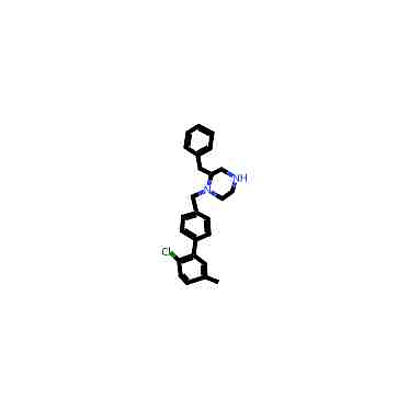 Cc1ccc(Cl)c(-c2ccc(CN3CCNCC3Cc3ccccc3)cc2)c1